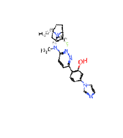 CN(c1ccc(-c2ccc(-n3ccnc3)cc2O)nn1)[C@@H]1C[C@@]2(C)CCC([C@@H]1F)N2C